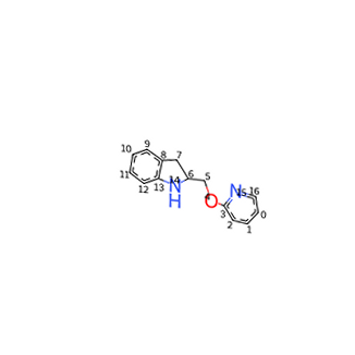 c1ccc(OCC2Cc3ccccc3N2)nc1